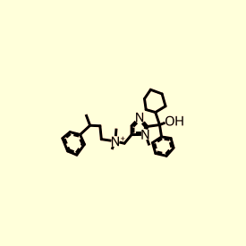 CC(CC[N+](C)(C)Cc1cnc(C(O)(c2ccccc2)C2CCCCC2)n1C)c1ccccc1